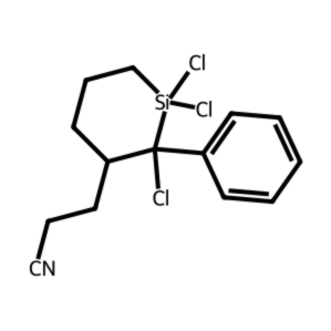 N#CCCC1CCC[Si](Cl)(Cl)C1(Cl)c1ccccc1